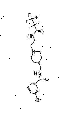 CC(C)(C(=O)NCCN1CCC(CNC(=O)c2cccc(Br)c2)CC1)C(F)(F)F